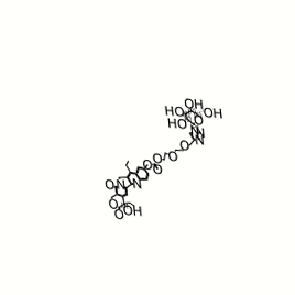 CCc1c2c(nc3ccc(OC(=O)OCCOCCOCc4cn([C@H]5O[C@@H](CO)[C@H](O)[C@@H](O)[C@@H]5O)nn4)cc13)-c1cc3c(c(=O)n1C2)COC(=O)[C@]3(O)CC